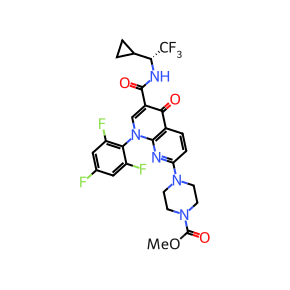 COC(=O)N1CCN(c2ccc3c(=O)c(C(=O)N[C@H](C4CC4)C(F)(F)F)cn(-c4c(F)cc(F)cc4F)c3n2)CC1